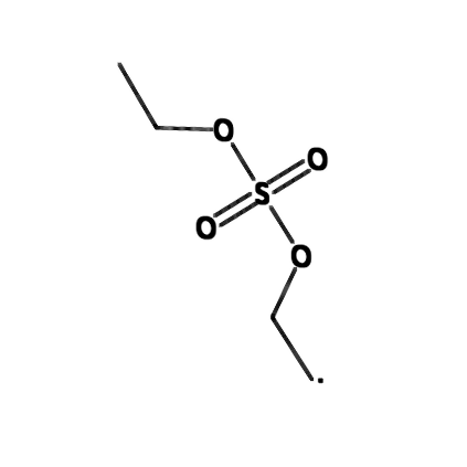 [CH2]COS(=O)(=O)OCC